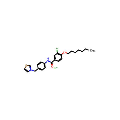 CCCCCCCCCCCCCCCCOc1ccc(C(=O)Nc2ccc(C[n+]3ccsc3)cc2)cc1Cl.[Br-]